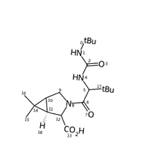 CC(C)(C)NC(=O)NC(C(=O)N1CC2[C@@H](C1C(=O)O)C2(C)C)C(C)(C)C